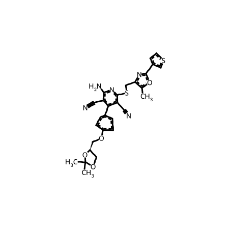 Cc1oc(-c2ccsc2)nc1CSc1nc(N)c(C#N)c(-c2ccc(OC[C@H]3COC(C)(C)O3)cc2)c1C#N